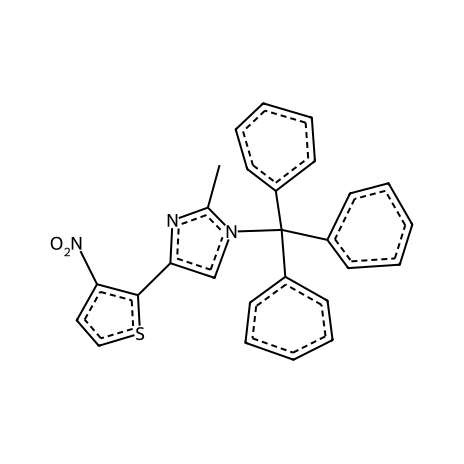 Cc1nc(-c2sccc2[N+](=O)[O-])cn1C(c1ccccc1)(c1ccccc1)c1ccccc1